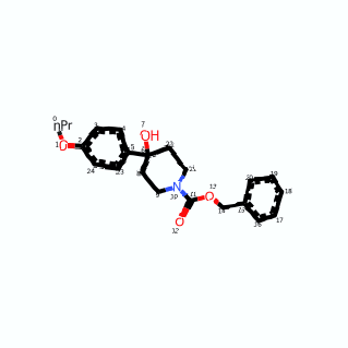 CCCOc1ccc(C2(O)CCN(C(=O)OCc3ccccc3)CC2)cc1